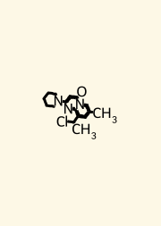 Cc1cc(C(C)Cl)c2nc(N3CCCCC3)cc(=O)n2c1